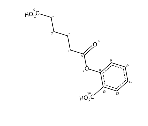 O=C(O)CCCCC(=O)Oc1ccccc1C(=O)O